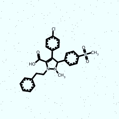 CN1C(c2ccc(S(C)(=O)=O)cc2)C(c2ccc(Cl)cc2)=C(C(=O)O)N1CCc1ccccc1